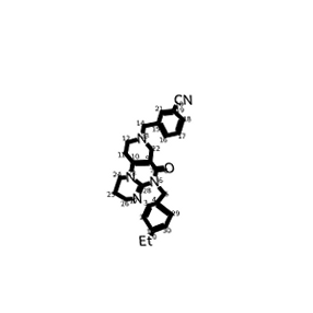 CCc1ccc(CN2C(=O)C3=C(CCN(Cc4cccc(C#N)c4)C3)N3CCCN=C23)cc1